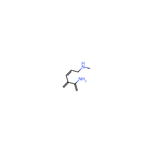 C=C(N)C(=C)/C=C\CNC